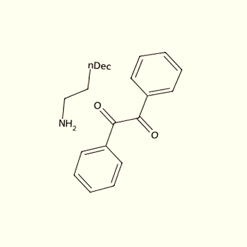 CCCCCCCCCCCCN.O=C(C(=O)c1ccccc1)c1ccccc1